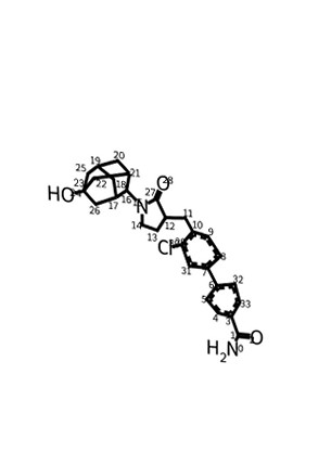 NC(=O)c1ccc(-c2ccc(CC3CCN(C4C5CC6CC4CC(O)(C6)C5)C3=O)c(Cl)c2)cc1